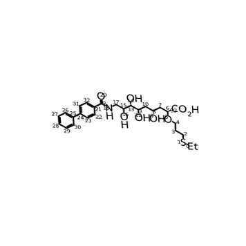 CCSCCCO[C@@H](C[C@H](O)C[C@@H](O)[C@H](O)C(O)CNC(=O)c1ccc(-c2ccccc2)cc1)C(=O)O